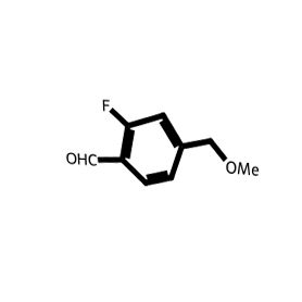 COCc1ccc(C=O)c(F)c1